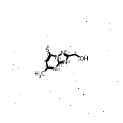 Cc1cc([S])n2nc(CO)nc2n1